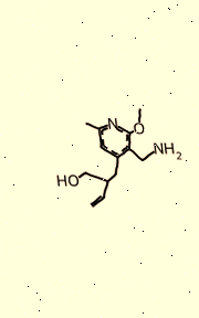 C=CC(CO)Cc1cc(C)nc(OC)c1CN